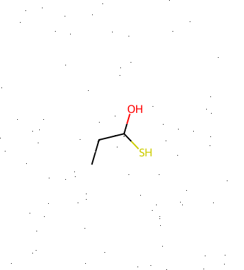 CC[C](O)S